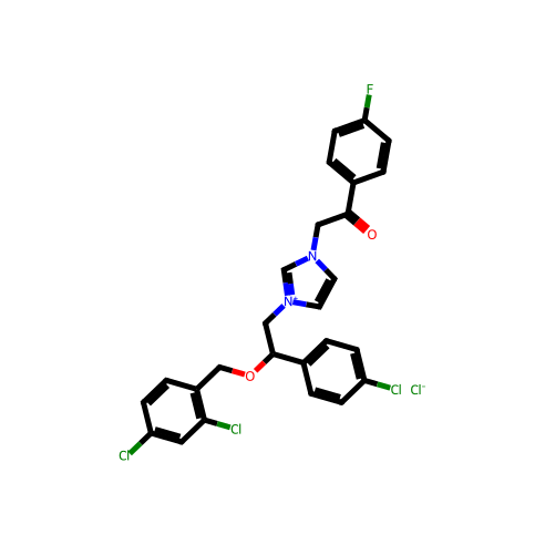 O=C(Cn1cc[n+](CC(OCc2ccc(Cl)cc2Cl)c2ccc(Cl)cc2)c1)c1ccc(F)cc1.[Cl-]